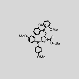 COc1ccc(P(c2ccc(OC)cc2)[C@H]2C[C@@H](CP(c3ccccc3OC)c3ccccc3OC)N(C(=O)OC(C)(C)C)C2)cc1